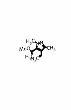 C=Cc1c(C)nn(C)c1C(C)OC